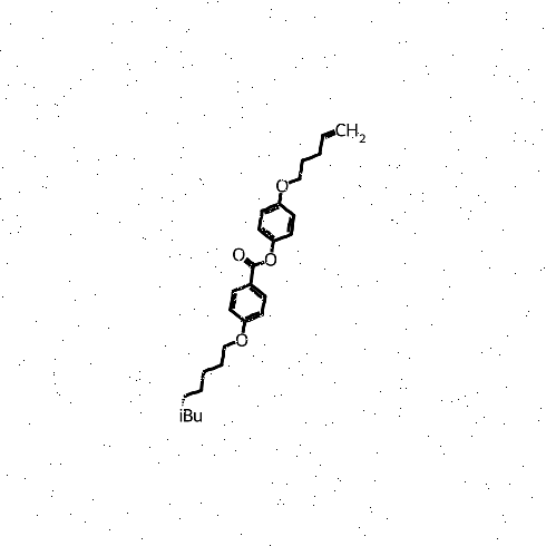 C=CCCCOc1ccc(OC(=O)c2ccc(OCCCCC[C@@H](C)CC)cc2)cc1